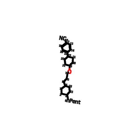 CCCCCC1CCC(CCCOC2CCC(c3ccc(C#N)cc3)CC2)CC1